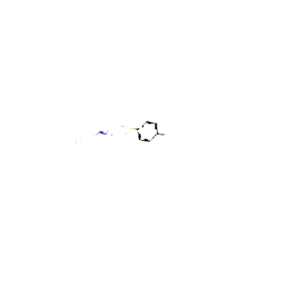 CC=NOS(=O)(=O)c1ccc(C)cc1